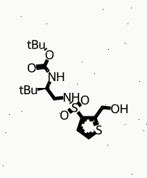 CC(C)(C)OC(=O)N[C@@H](CNS(=O)(=O)c1ccsc1CO)C(C)(C)C